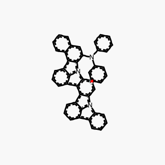 c1ccc(N(c2ccccc2)c2cc3ccccc3c3c4cccc5c6c7c8cccc9c%10ccccc%10n(c7cnc6n(c23)c54)c98)cc1